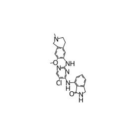 COc1cc2c(cc1Nc1ncc(Cl)c(Nc3cccc4c3C(=O)NC4)n1)CCN(C)C2